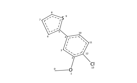 COc1cc(-c2cccs2)[c]cc1Cl